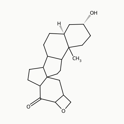 CC12CC[C@@H](O)C[C@@H]1CCC1C3CCC4C(=O)C5OCC5CC43CCC12